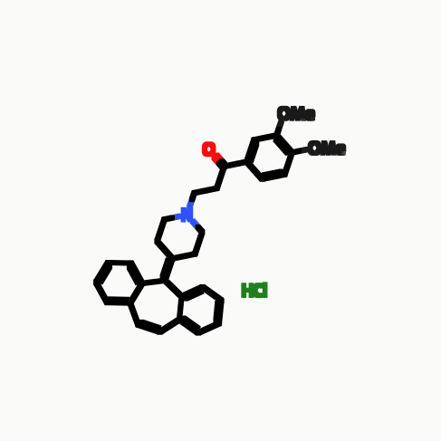 COc1ccc(C(=O)CCN2CCC(=C3c4ccccc4C=Cc4ccccc43)CC2)cc1OC.Cl